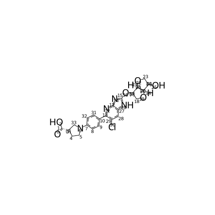 O=C(O)[C@H]1CCN(c2ccc(-c3nc4nc(O[C@@H]5CO[C@H]6[C@@H]5OC[C@H]6O)[nH]c4cc3Cl)cc2)C1